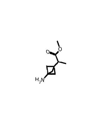 COC(=O)C(C)C12CC(N)(C1)C2